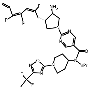 C=C/C(F)=C(F)\C=C(\F)C[C@H]1CN(c2ncc(C(=O)N(CCC)C3CCN(c4nc(C(C)(F)F)no4)CC3)cn2)C[C@@H]1N